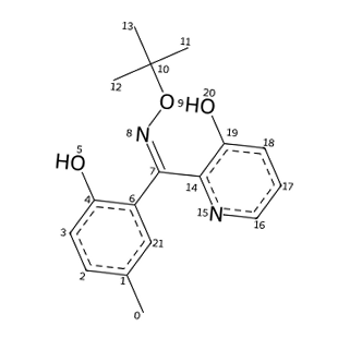 Cc1ccc(O)c(/C(=N/OC(C)(C)C)c2ncccc2O)c1